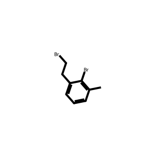 Cc1cccc(CCBr)c1Br